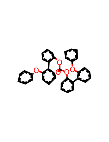 O=C(Oc1ccccc1-c1ccccc1Oc1ccccc1)Oc1ccccc1-c1ccccc1Oc1ccccc1